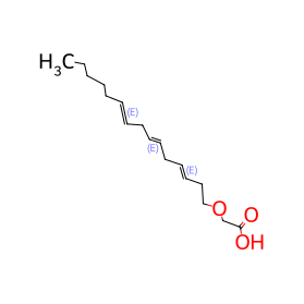 CCCCC/C=C/C/C=C/C/C=C/CCOCC(=O)O